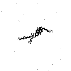 CC(C)CCC[C@@H](C)[C@H]1CC[C@H]2[C@@H]3CC=C4C[C@@H](OC(=O)N(CCCCOCCCN(C)C)CCCN(C)C)CC[C@]4(C)[C@H]3CC[C@]12C